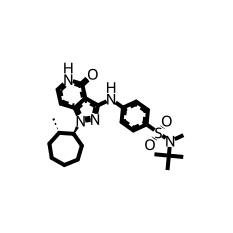 C[C@H]1CCCCC[C@@H]1n1nc(Nc2ccc(S(=O)(=O)N(C)C(C)(C)C)cc2)c2c(=O)[nH]ccc21